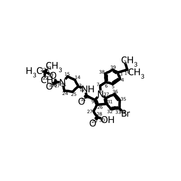 CC(C)c1ccc(Cn2c(C(=O)NC3CCN(C(=O)OC(C)(C)C)CC3)c(CC(=O)O)c3cc(Br)ccc32)cc1